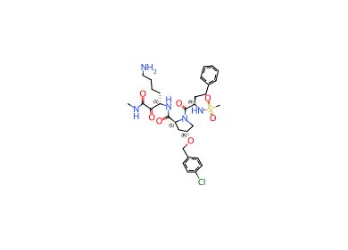 CNC(=O)C(=O)[C@H](CCCCN)NC(=O)[C@@H]1C[C@@H](OCc2ccc(Cl)cc2)CN1C(=O)[C@@H](CCc1ccccc1)NS(C)(=O)=O